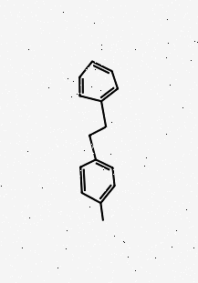 Cc1ccc(CCc2ccccc2)cc1